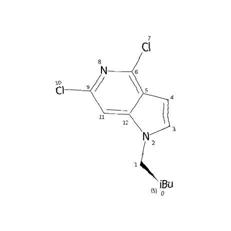 CC[C@H](C)Cn1ccc2c(Cl)nc(Cl)cc21